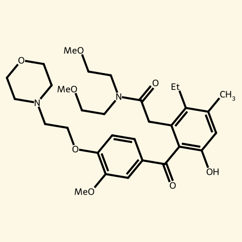 CCc1c(C)cc(O)c(C(=O)c2ccc(OCCN3CCOCC3)c(OC)c2)c1CC(=O)N(CCOC)CCOC